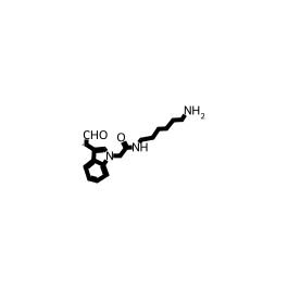 NCCCCCCNC(=O)Cn1cc([CH]C=O)c2ccccc21